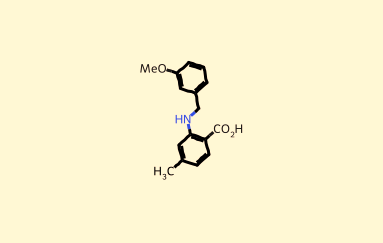 COc1cccc(CNc2cc(C)ccc2C(=O)O)c1